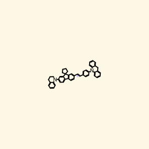 C(=C\c1ccc2c(c1)C1(CCCC1)c1cc(N3CCCc4ccccc43)ccc1-2)/c1ccc(N2c3ccccc3Cc3ccccc32)cc1